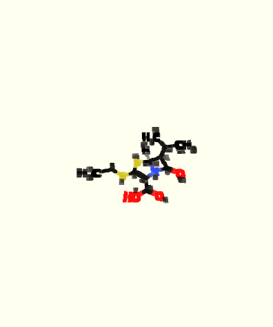 CCSC1=C(C(=O)O)N2C(=O)C(C(C)C)[C@@H]2S1